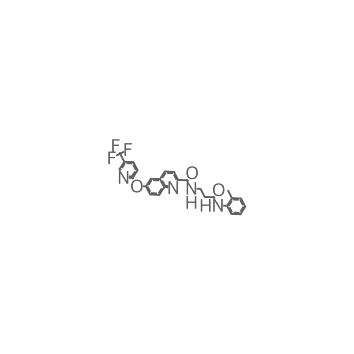 Cc1ccccc1NC(=O)CCNC(=O)c1ccc2cc(Oc3ccc(C(F)(F)F)cn3)ccc2n1